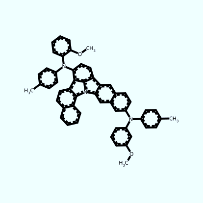 COc1cccc(N(c2ccc(C)cc2)c2ccc3cc4c5ccc(N(c6ccc(C)cc6)c6ccccc6OC)c6c7ccc8ccccc8c7n(c4cc3c2)c56)c1